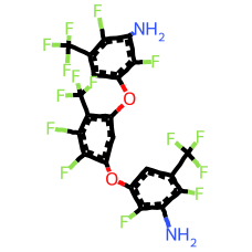 Nc1c(F)c(Oc2cc(Oc3cc(C(F)(F)F)c(F)c(N)c3F)c(C(F)(F)F)c(F)c2F)cc(C(F)(F)F)c1F